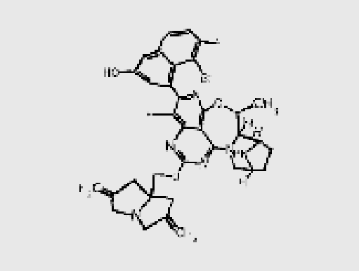 C=C1CN2CC(=C)CC2(COc2nc3c4c(nc(-c5cc(O)cc6ccc(F)c(CC)c56)c(F)c4n2)O[C@@H](C)[C@@H]2[C@@H]4CC[C@H](CN32)N4)C1